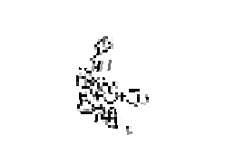 CCC(NC(=O)C(CC(=O)N1CCOCC1)[C@@H](c1ccccc1)S(C)(=O)=O)C(=O)C(=O)NCc1ccncc1